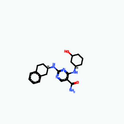 NC(=O)c1cnc(N[C@@H]2CCc3ccccc3C2)nc1N[C@@H]1CCCC(O)C1